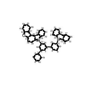 c1ccc(-c2cc(-c3cccc(-n4c5ccccc5c5ccccc54)c3)cc(-n3c4ccccc4c4c5c(ccc43)oc3ccccc35)c2)cc1